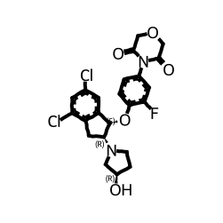 O=C1COCC(=O)N1c1ccc(O[C@H]2c3cc(Cl)cc(Cl)c3C[C@H]2N2CC[C@@H](O)C2)c(F)c1